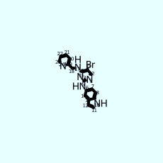 Brc1cnc(Nc2ccc3[nH]ccc3c2)nc1NCc1ccccn1